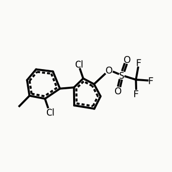 Cc1cccc(-c2cccc(OS(=O)(=O)C(F)(F)F)c2Cl)c1Cl